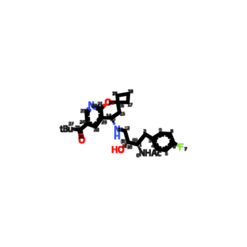 CC(=O)N[C@@H](Cc1ccc(F)cc1)[C@H](O)CN[C@H]1CC2(CCC2)Oc2ncc(C(=O)C(C)(C)C)cc21